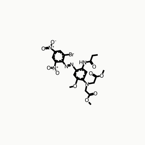 CCC(=O)Nc1cc(N(CC(=O)OC)CC(=O)OC)c(OC)cc1/N=N/c1c(Br)cc([N+](=O)[O-])cc1[N+](=O)[O-]